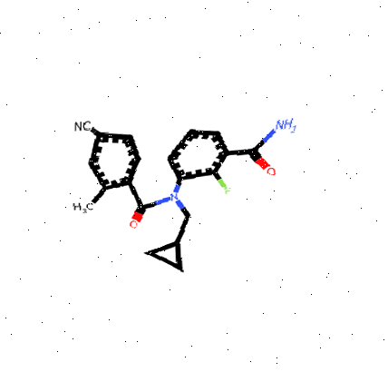 Cc1cc(C#N)ccc1C(=O)N(CC1CC1)c1cccc(C(N)=O)c1F